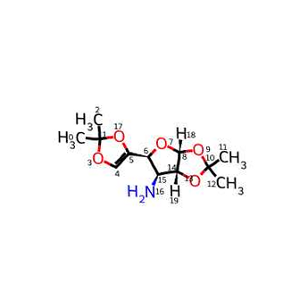 CC1(C)OC=C([C@H]2O[C@@H]3OC(C)(C)O[C@@H]3[C@H]2N)O1